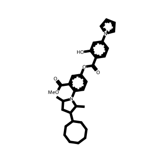 COC(=O)c1cc(OC(=O)c2ccc(-n3cccc3)cc2O)ccc1N1C(C)CC(C2CCCCCCC2)C1C